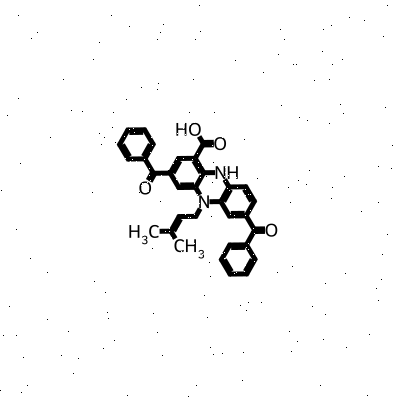 CC(C)=CCN1c2cc(C(=O)c3ccccc3)ccc2Nc2c(C(=O)O)cc(C(=O)c3ccccc3)cc21